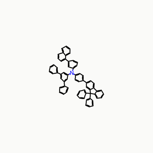 c1ccc(-c2cc(-c3ccccc3)cc(N(c3ccc(-c4ccc5c(c4)C(c4ccccc4)(c4ccccc4)c4ccccc4-5)cc3)c3cccc(-c4cccc5ccccc45)c3)c2)cc1